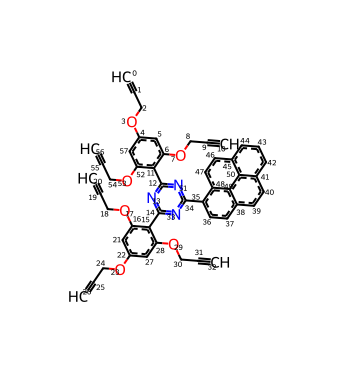 C#CCOc1cc(OCC#C)c(-c2nc(-c3c(OCC#C)cc(OCC#C)cc3OCC#C)nc(-c3ccc4ccc5cccc6ccc3c4c56)n2)c(OCC#C)c1